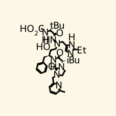 CCc1ncc(CN(C[C@H](O)[C@H](Cc2ccccc2)NC(=O)[C@H]([C@@H](C)CC)N2CCN(Cc3cccc(C)n3)C2=O)NC(=O)[C@@H](NC(=O)O)C(C)(C)C)[nH]1